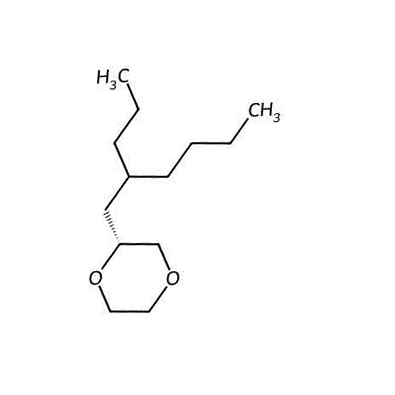 CCCCC(CCC)C[C@@H]1COCCO1